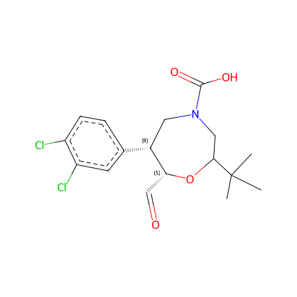 CC(C)(C)C1CN(C(=O)O)C[C@@H](c2ccc(Cl)c(Cl)c2)[C@@H](C=O)O1